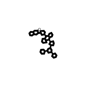 c1ccc(-c2cc(-c3ccccc3)cc(-c3cccc(-c4c5ccccc5c(-c5ccc6oc7cc8ccccc8cc7c6c5)c5ccccc45)c3)c2)cc1